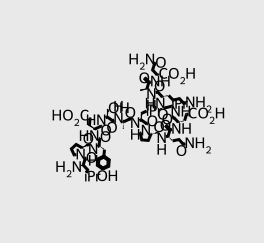 CC(C)C[C@H](NC(=O)[C@H](C)NC(=O)[C@H](CO)NC(=O)[C@H](CCC(=O)O)NC(=O)[C@H](Cc1ccc(O)cc1)NC(=O)[C@@H]1CCCN1C(=O)[C@@H](N)CC(C)C)C(=O)N1CCC[C@H]1C(=O)N[C@@H](CCC(N)=O)C(=O)N[C@@H](CCC(=O)O)C(=O)N[C@H](C(=O)N[C@@H](CCCCN)C(=O)N[C@@H](C)C(=O)N[C@@H](CC(N)=O)C(=O)O)C(C)C